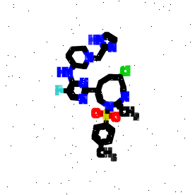 C=C1/N=C\C(Cl)=C/C/C(c2ncc(F)c(NC3CCCN(Cc4ncc[nH]4)C3)n2)=C\N1S(=O)(=O)c1ccc(C)cc1